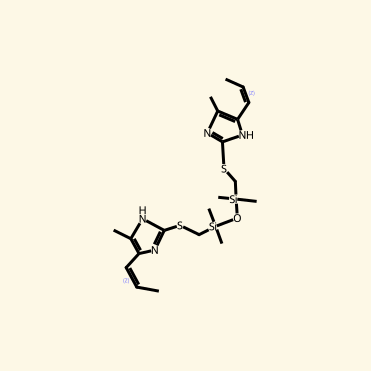 C/C=C\c1nc(SC[Si](C)(C)O[Si](C)(C)CSc2nc(C)c(/C=C\C)[nH]2)[nH]c1C